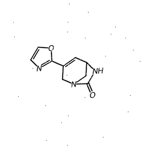 O=C1NC2C=C(c3ncco3)CN1C2